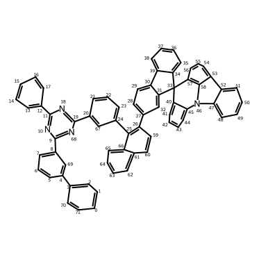 c1ccc(-c2cccc(-c3nc(-c4ccccc4)nc(-c4cccc(-c5c(-c6ccc7c(c6)C6(c8ccccc8-7)c7ccccc7-n7c8ccccc8c8cccc6c87)ccc6ccccc56)c4)n3)c2)cc1